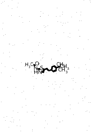 CC(=O)Nc1ncc(C=Cc2ccc(C(C)(C)C)cc2)s1